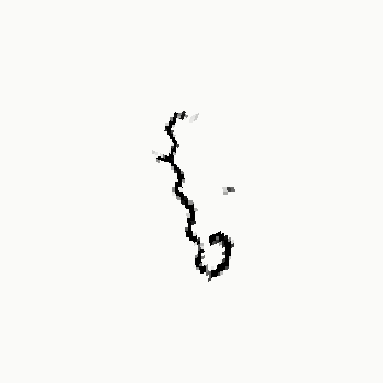 CCCCCCCCCCCC(F)CCCC[n+]1cccnc1.[Br-]